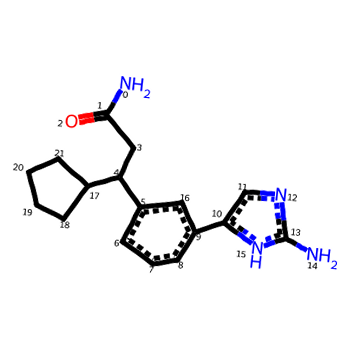 NC(=O)CC(c1cccc(-c2cnc(N)[nH]2)c1)C1CCCC1